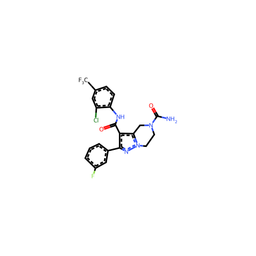 NC(=O)N1CCn2nc(-c3cccc(F)c3)c(C(=O)Nc3ccc(C(F)(F)F)cc3Cl)c2C1